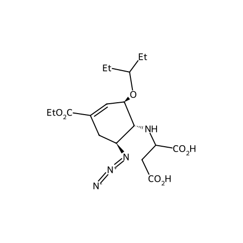 CCOC(=O)C1=C[C@@H](OC(CC)CC)[C@H](NC(CC(=O)O)C(=O)O)[C@@H](N=[N+]=[N-])C1